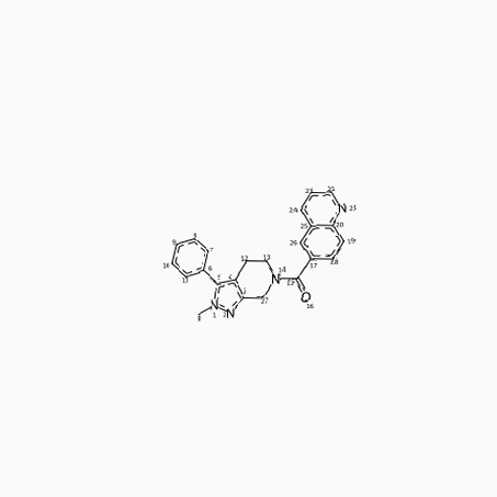 Cn1nc2c(c1-c1ccccc1)CCN(C(=O)c1ccc3ncccc3c1)C2